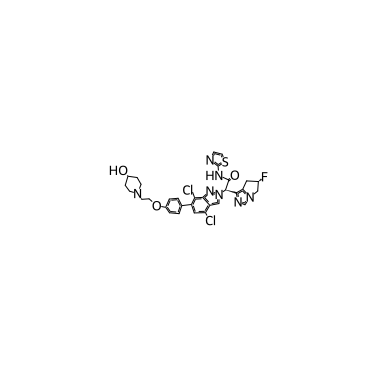 O=C(Nc1nccs1)[C@@H](c1ncn2c1C[C@@H](F)C2)n1cc2c(Cl)cc(-c3ccc(OCCN4CCC(O)CC4)cc3)c(Cl)c2n1